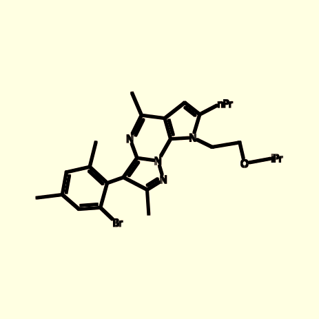 CCCc1cc2c(C)nc3c(-c4c(C)cc(C)cc4Br)c(C)nn3c2n1CCOC(C)C